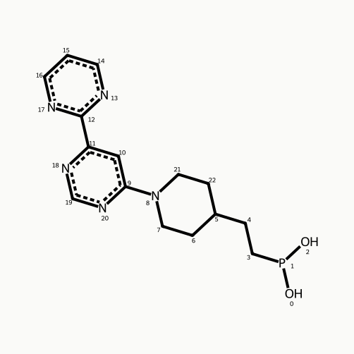 OP(O)CCC1CCN(c2cc(-c3ncccn3)ncn2)CC1